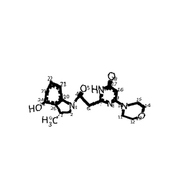 C[C@H]1CN(C(=O)Cc2nc(N3CCOCC3)cc(=O)[nH]2)c2cccc(O)c21